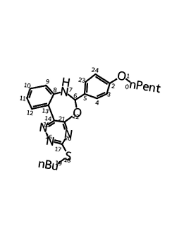 CCCCCOc1ccc(C2Nc3ccccc3-c3nnc(SCCCC)nc3O2)cc1